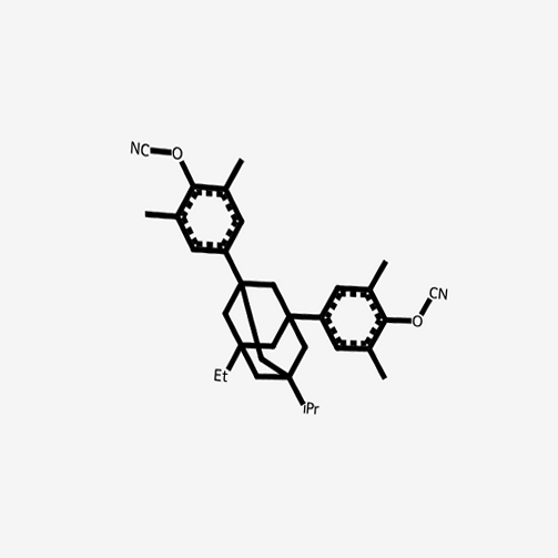 CCC12CC3(c4cc(C)c(OC#N)c(C)c4)CC(c4cc(C)c(OC#N)c(C)c4)(C1)CC(C(C)C)(C2)C3